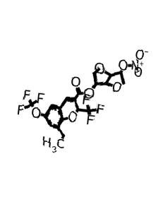 CCc1cc(OC(F)(F)F)cc2c1OC(C(F)(F)F)C(C(=O)OC1COC3C(O[N+](=O)[O-])COC13)=C2